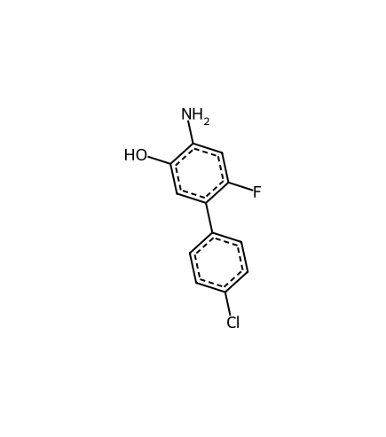 Nc1cc(F)c(-c2ccc(Cl)cc2)cc1O